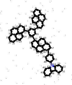 c1cc2ccc3ccc(-c4cc(-c5ccc6ccc7cccc8ccc5c6c78)cc(-c5ccc6ccc7c(-c8ccc(-n9c%10ccccc%10c%10ccccc%109)cc8)ccc8ccc5c6c87)c4)c4ccc(c1)c2c34